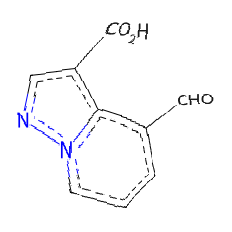 O=Cc1cccn2ncc(C(=O)O)c12